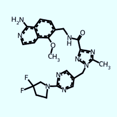 COc1c(CNC(=O)c2nc(C)n(Cc3cnc(N4CCC(F)(F)C4)nc3)n2)ccc2c(N)nccc12